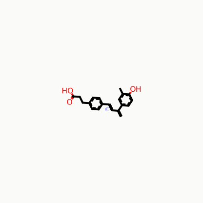 C=C(/C=C/c1ccc(CCC(=O)O)cc1)c1ccc(O)c(C)c1